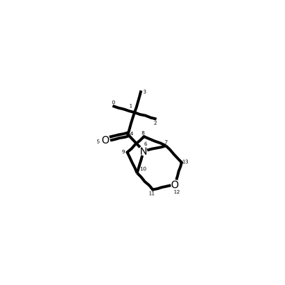 CC(C)(C)C(=O)N1C2CCC1COC2